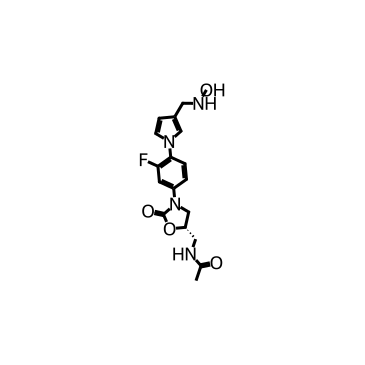 CC(=O)NC[C@H]1CN(c2ccc(-n3ccc(CNO)c3)c(F)c2)C(=O)O1